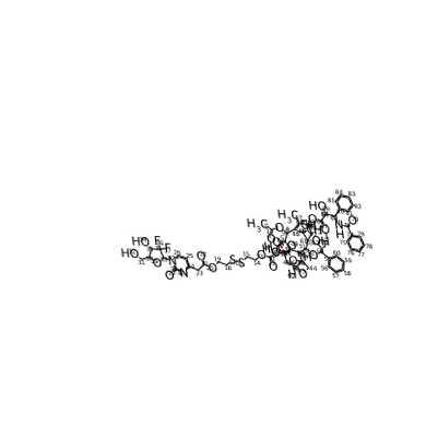 CC(=O)O[C@H]1C(=O)[C@]2(C)[C@@H](OC(=O)OCCSSCCOC(=O)Cc3ccn(C4OC(CO)C(O)C4(F)F)c(=O)n3)C[C@H]3OC[C@@]3(OC(C)=O)[C@H]2[C@H](OC(=O)c2ccccc2)[C@]2(O)C[C@H](OC(=O)[C@H](O)[C@@H](NC(=O)c3ccccc3)c3ccccc3)C(C)=C1C2(C)C